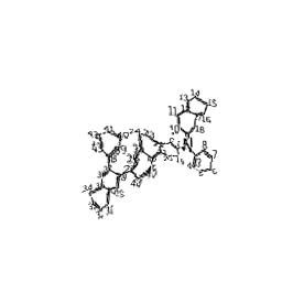 C1=C(N(c2ccccc2)c2ccc3ccccc3c2)CCc2c1ccc1cc(-c3cc4ccccc4cc3-c3ccccc3)ccc21